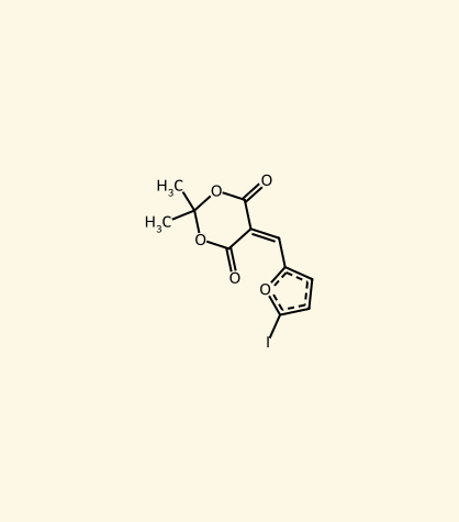 CC1(C)OC(=O)C(=Cc2ccc(I)o2)C(=O)O1